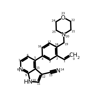 C=Cc1cc(-c2ccnc3[nH]cc(C#N)c23)ccc1CN1CCOCC1